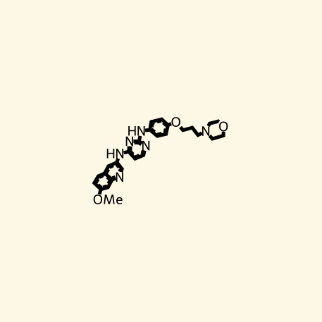 COc1ccc2cc(Nc3ccnc(Nc4ccc(OCCCN5CCOCC5)cc4)n3)cnc2c1